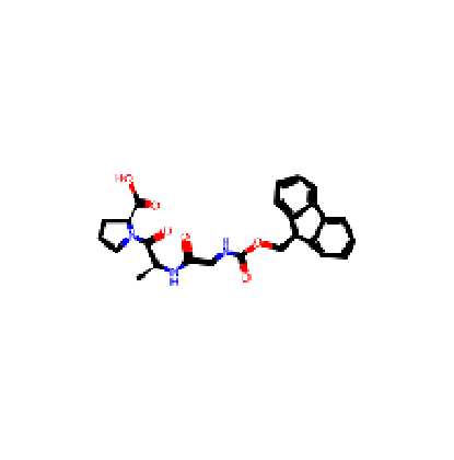 C[C@H](NC(=O)CNC(=O)OCC1c2ccccc2-c2ccccc21)C(=O)N1CCC[C@H]1C(=O)O